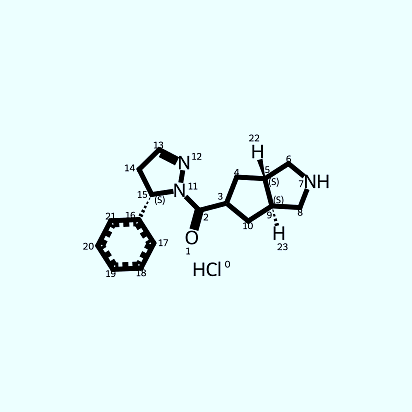 Cl.O=C(C1C[C@@H]2CNC[C@H]2C1)N1N=CC[C@H]1c1ccccc1